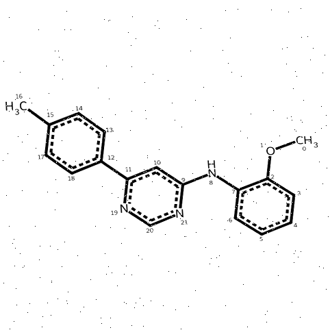 COc1ccccc1Nc1cc(-c2ccc(C)cc2)ncn1